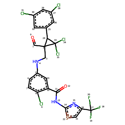 O=CC1(CNc2ccc(Cl)c(C(=O)Nc3nc(C(F)(F)F)cs3)c2)C(c2cc(Cl)cc(Cl)c2)C1(Cl)Cl